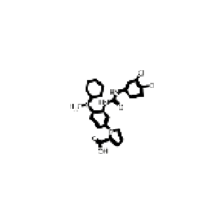 CN(c1ccc(-n2cccc2C(=O)O)cc1NC(=O)Nc1ccc(Cl)c(Cl)c1)C1CCCCC1